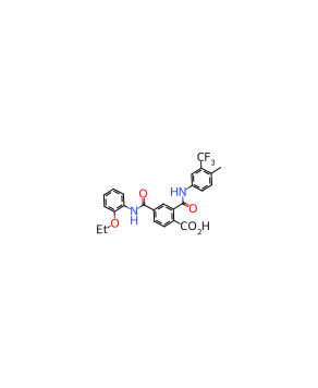 CCOc1ccccc1NC(=O)c1ccc(C(=O)O)c(C(=O)Nc2ccc(C)c(C(F)(F)F)c2)c1